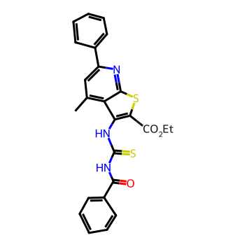 CCOC(=O)c1sc2nc(-c3ccccc3)cc(C)c2c1NC(=S)NC(=O)c1ccccc1